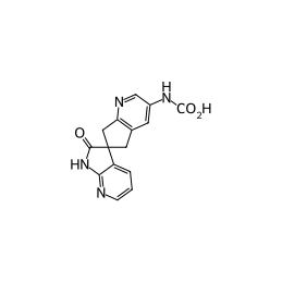 O=C(O)Nc1cnc2c(c1)CC1(C2)C(=O)Nc2ncccc21